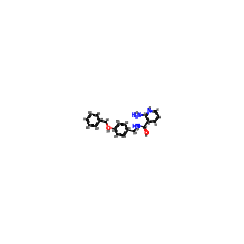 Nc1ncccc1C(=O)NCc1ccc(OCc2ccccc2)cc1